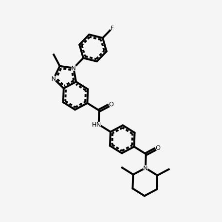 Cc1nc2ccc(C(=O)Nc3ccc(C(=O)N4C(C)CCCC4C)cc3)cc2n1-c1ccc(F)cc1